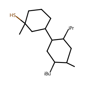 CCC(C)C1CC(C2CCCC(C)(S)C2)C(C(C)C)CC1C